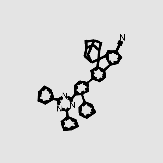 N#Cc1ccc2c(c1)C1(c3cc(-c4ccc(-c5nc(-c6ccccc6)nc(-c6ccccc6)n5)c(-c5ccccc5)c4)ccc3-2)C2CC3CC(C2)CC1C3